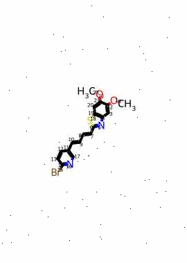 COc1cc2nc(C=CC=Cc3ccc(Br)nc3)sc2cc1OC